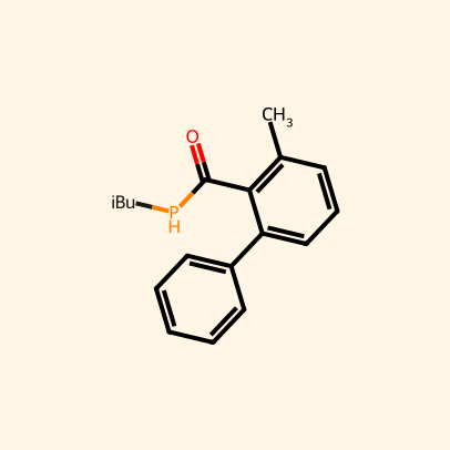 CCC(C)PC(=O)c1c(C)cccc1-c1ccccc1